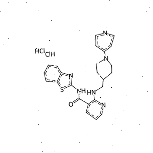 Cl.Cl.O=C(Nc1nc2ccccc2s1)c1cccnc1NCC1CCN(c2ccncc2)CC1